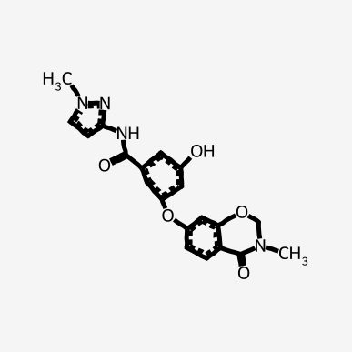 CN1COc2cc(Oc3cc(O)cc(C(=O)Nc4ccn(C)n4)c3)ccc2C1=O